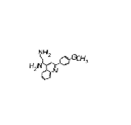 COc1ccc(-c2cc(C(N)CCN)c3ccccc3n2)cc1